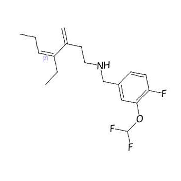 C=C(CCNCc1ccc(F)c(OC(F)F)c1)/C(=C\CC)CC